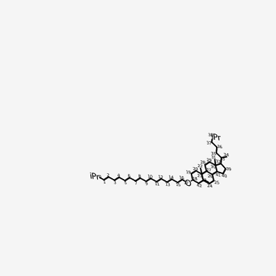 CC(C)CCCCCCCCCCCCCCCCO[C@H]1CCC2(C)C(=CCC3C2CCC2(C)C(C(C)CCCC(C)C)CCC32)C1